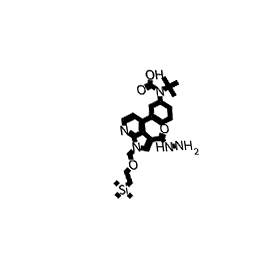 CC(C)(C)N(C(=O)O)C1CCC=C(c2ccnc3c2c(C(=O)NN)cn3COCC[Si](C)(C)C)C1